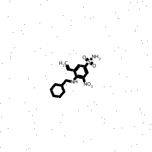 C=Cc1cc(S(N)(=O)=O)cc([N+](=O)[O-])c1NCC1CCCCC1